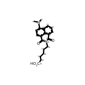 CN(C)c1ccc2c3c(cccc13)C(=O)N(CCCCCC(=O)O)C2=O